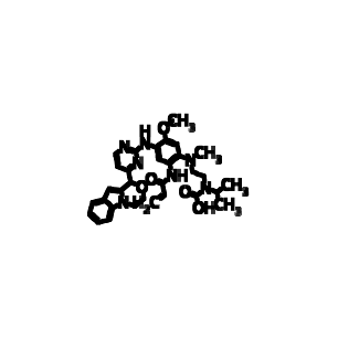 C=CC(=O)Nc1cc(Nc2nccc(C3OCCn4c3cc3ccccc34)n2)c(OC)cc1N(C)CCN(C(=O)O)C(C)C